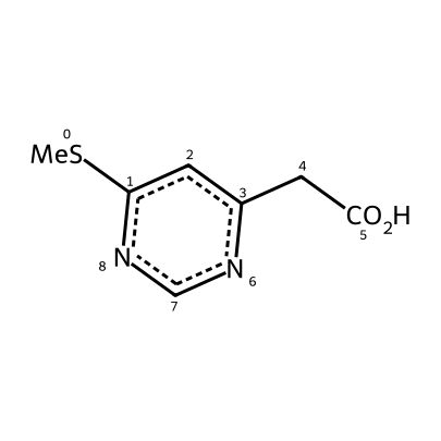 CSc1cc(CC(=O)O)ncn1